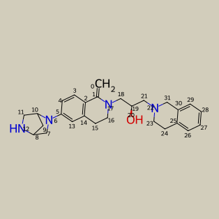 C=C1c2ccc(N3CC4CC3CN4)cc2CCN1C[C@H](O)CN1CCc2ccccc2C1